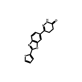 O=C1CCC(c2ccc3nc(-c4cccs4)oc3c2)=NN1